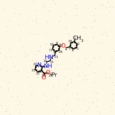 Cc1cccc(COc2cccc(CNCCNc3ncccc3C(=O)OC(C)C)c2)c1